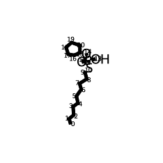 CCCCCCCCCCSP(=O)(O)OC1CCCCC1